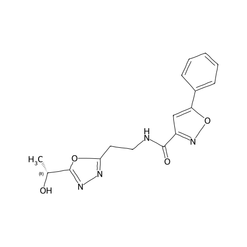 C[C@@H](O)c1nnc(CCNC(=O)c2cc(-c3ccccc3)on2)o1